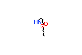 C=CCCCOC(=O)C1CCCN1